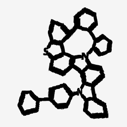 c1ccc(-c2ccc(-n3c4ccccc4c4ccc5c(c6ccc7sc8cccc9c%10ccccc%10c%10ccccc%10n5c6c7c89)c43)cc2)cc1